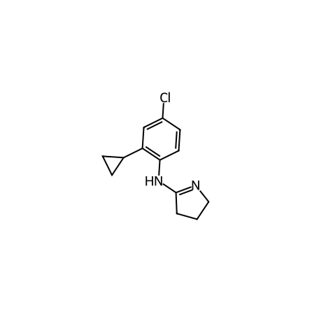 Clc1ccc(NC2=NCCC2)c(C2CC2)c1